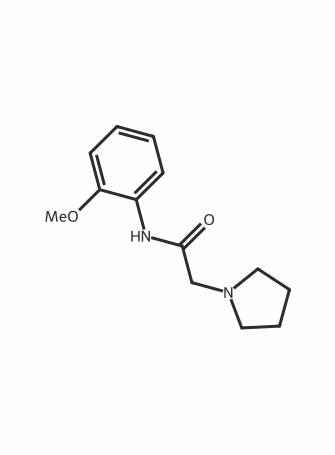 COc1ccccc1NC(=O)CN1CCCC1